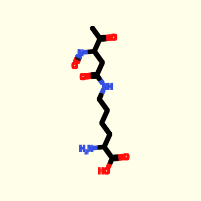 CC(=O)C(CC(=O)NCCCCC(N)C(=O)O)N=O